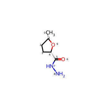 C[C@H]1CC[C@@H](C(=O)NN)O1